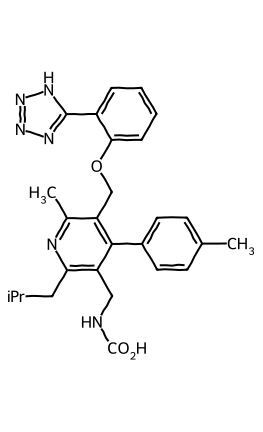 Cc1ccc(-c2c(COc3ccccc3-c3nnn[nH]3)c(C)nc(CC(C)C)c2CNC(=O)O)cc1